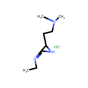 CC/N=C1\NC1CCN(C)C.Cl